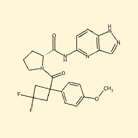 COc1ccc(C2(C(=O)N3CCC[C@@H]3C(=O)Nc3ccc4[nH]ncc4n3)CC(F)(F)C2)cc1